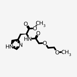 COCCOCC(=O)N[C@@H](Cc1c[nH]cn1)C(=O)OC